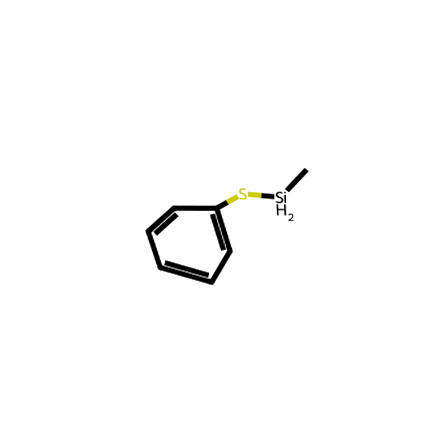 C[SiH2]Sc1ccccc1